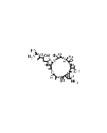 CCC(C)C1NC(=O)C(C(C)CC)NC(=O)C(NC(=O)CC(O)C(I)NC(=N)N)C(C)OC(=O)C(C)NC(=O)C(CC(N)=O)NC(=O)C(C(C)O)NC1=O